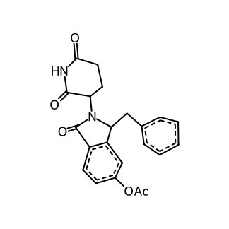 CC(=O)Oc1ccc2c(c1)C(Cc1ccccc1)N(C1CCC(=O)NC1=O)C2=O